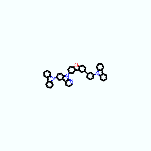 c1cc(-c2ccc3oc4ccc(-n5c6ccc(-n7c8ccccc8c8ccccc87)cc6c6cccnc65)cc4c3c2)cc(-n2c3ccccc3c3ccccc32)c1